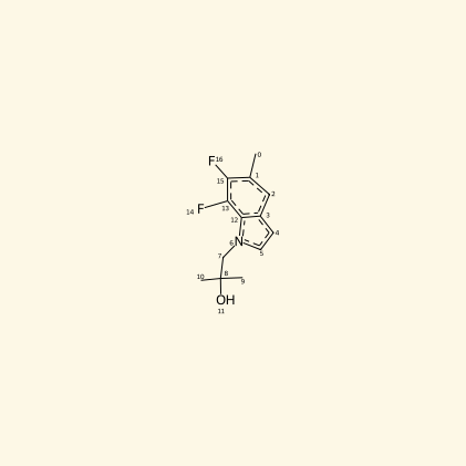 Cc1cc2ccn(CC(C)(C)O)c2c(F)c1F